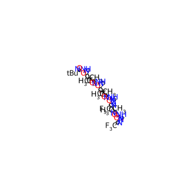 CC(C)(C)c1cc(NC(=O)N2CCCC2c2ccc(C(F)(F)F)c(C(C)(C)c3cc(NC(=O)N4CCCC4c4ccc(C(F)(F)F)c(C(C)(C)c5cc(NC(=O)N6CCCN6c6ccc(C(F)(F)F)c(C(C)(C)c7cc(NC(=O)N8CCCN8c8ccc(C(F)(F)F)cn8)on7)n6)no5)c4)no3)c2)on1